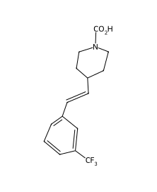 O=C(O)N1CCC(C=Cc2cccc(C(F)(F)F)c2)CC1